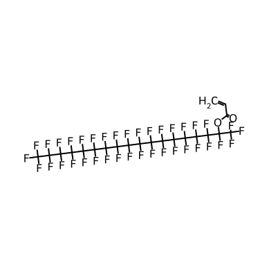 C=CC(=O)OC(F)(C(F)(F)F)C(F)(F)C(F)(F)C(F)(F)C(F)(F)C(F)(F)C(F)(F)C(F)(F)C(F)(F)C(F)(F)C(F)(F)C(F)(F)C(F)(F)C(F)(F)C(F)(F)C(F)(F)C(F)(F)F